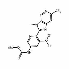 CC[S+]([O-])c1cc(NC(=O)OC(C)(C)C)cnc1-c1nc2cc(C(F)(F)F)ncc2n1C